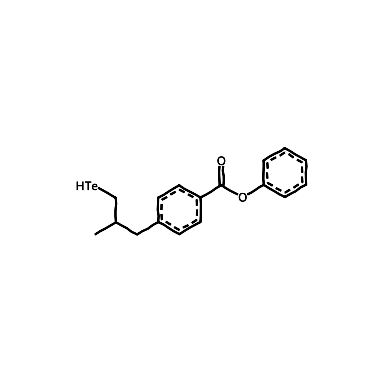 CC(C[TeH])Cc1ccc(C(=O)Oc2ccccc2)cc1